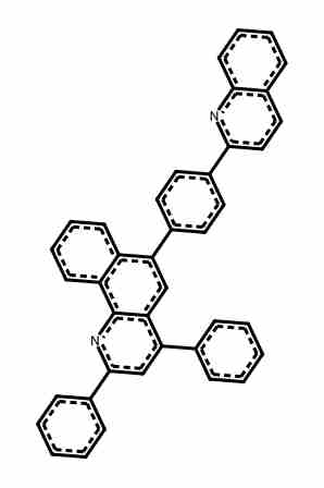 c1ccc(-c2cc(-c3ccccc3)c3cc(-c4ccc(-c5ccc6ccccc6n5)cc4)c4ccccc4c3n2)cc1